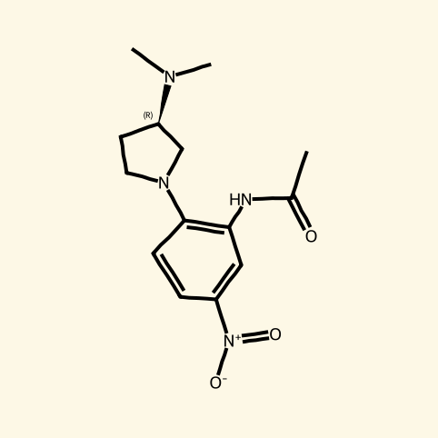 CC(=O)Nc1cc([N+](=O)[O-])ccc1N1CC[C@@H](N(C)C)C1